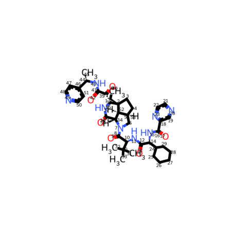 CC[C@]12CC[C@H]3CN(C(=O)[C@@H](NC(=O)[C@@H](NC(=O)c4cnccn4)C4CCCCC4)C(C)(C)C)[C@H](C(=O)N[C@@H]1C(=O)C(=O)N[C@@H](C)c1ccncc1)[C@H]32